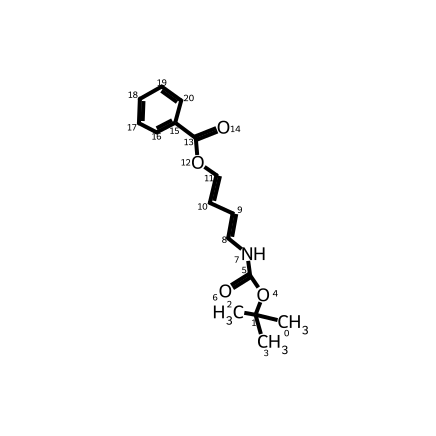 CC(C)(C)OC(=O)N/C=C/C=C/OC(=O)c1ccccc1